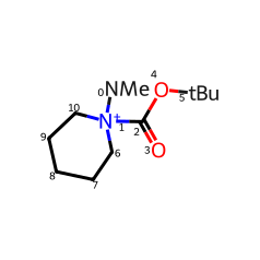 [CH2]N[N+]1(C(=O)OC(C)(C)C)CCCCC1